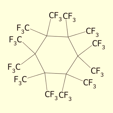 FC(F)(F)C1(C(F)(F)F)C(C(F)(F)F)(C(F)(F)F)C(C(F)(F)F)(C(F)(F)F)C(C(F)(F)F)(C(F)(F)F)C(C(F)(F)F)(C(F)(F)F)C1(C(F)(F)F)C(F)(F)F